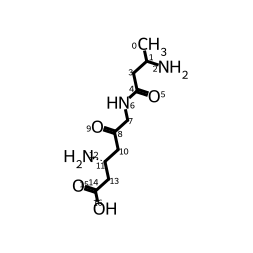 CC(N)CC(=O)NCC(=O)C[C@@H](N)CC(=O)O